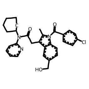 Cc1c(CC(=O)N(c2ccccn2)C2CCCCC2)c2cc(CO)ccc2n1C(=O)c1ccc(Cl)cc1